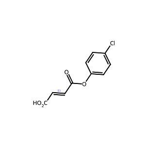 O=C(O)/C=C/C(=O)Oc1ccc(Cl)cc1